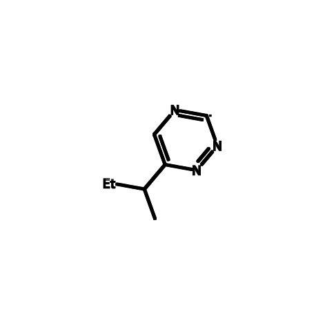 CCC(C)c1cn[c]nn1